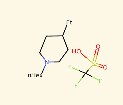 CCCCCCN1CCC(CC)CC1.O=S(=O)(O)C(F)(F)F